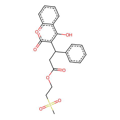 CS(=O)(=O)CCOC(=O)CC(c1ccccc1)c1c(O)c2ccccc2oc1=O